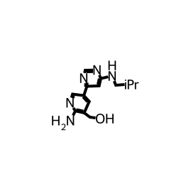 CC(C)CNc1cc(-c2cnc(N)c(CO)c2)ncn1